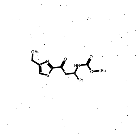 CC(=O)OCc1csc(C(=O)CC(NC(=O)OC(C)(C)C)C(C)C)n1